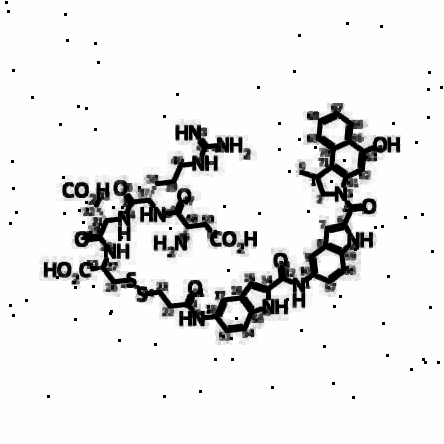 CC1CN(C(=O)c2cc3cc(NC(=O)c4cc5cc(NC(=O)CCSSC[C@H](NC(=O)[C@H](CC(=O)O)NC(=O)[C@H](CCCNC(=N)N)NC(=O)[C@@H](N)CC(=O)O)C(=O)O)ccc5[nH]4)ccc3[nH]2)c2cc(O)c3ccccc3c21